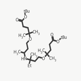 CCC(C)(CCOC(C)(C)CCC(=O)OC(C)(C)C)NC(C)CCOC(C)(C)CCC(=O)OC(C)(C)C